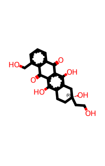 O=C1c2cccc(CO)c2C(=O)c2c(O)c3c(c(O)c21)C[C@@](O)(CCO)CC3